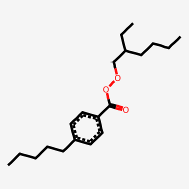 CCCCCc1ccc(C(=O)OO[CH]C(CC)CCCC)cc1